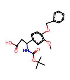 COc1cc(C(CC(=O)O)NC(=O)OC(C)(C)C)ccc1OCc1ccccc1